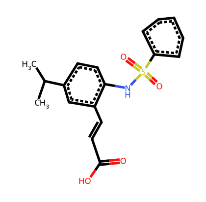 CC(C)c1ccc(NS(=O)(=O)c2ccccc2)c(C=CC(=O)O)c1